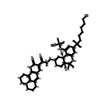 CC(C)(CCCCCCCl)c1cc2c(c(O[Si](C)(C)C(C)(C)C)c1)[C@@H]1C[C@H](CNC(=O)c3cc4cc5c6c(c4oc3=O)CCCN6CCC5)CC[C@H]1C(C)(C)O2